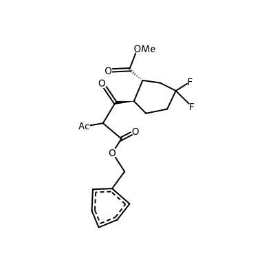 COC(=O)[C@@H]1CC(F)(F)CC[C@H]1C(=O)C(C(C)=O)C(=O)OCc1ccccc1